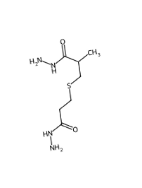 CC(CSCCC(=O)NN)C(=O)NN